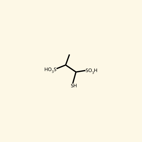 CC(C(S)S(=O)(=O)O)S(=O)(=O)O